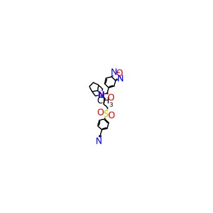 CN(C(=O)c1ccc2nonc2c1)C1C2CCC1CN(CCCS(=O)(=O)c1ccc(C#N)cc1)C2